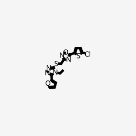 CCn1c(SCc2noc(-c3ccc(Cl)s3)n2)nnc1-c1ccco1